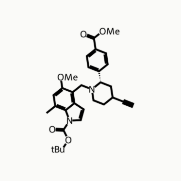 C#CC1CCN(Cc2c(OC)cc(C)c3c2ccn3C(=O)OC(C)(C)C)[C@H](c2ccc(C(=O)OC)cc2)C1